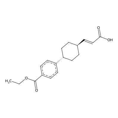 CCOC(=O)c1ccc([C@H]2CC[C@H](/C=C/C(=O)O)CC2)cc1